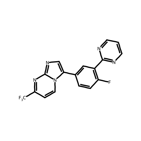 Fc1ccc(-c2cnc3nc(C(F)(F)F)ccn23)cc1-c1ncccn1